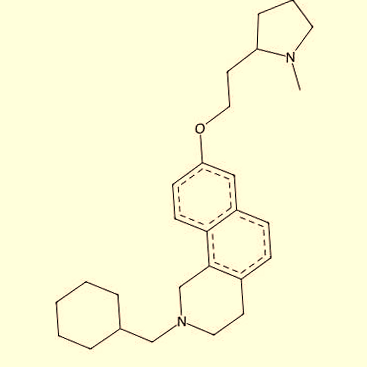 CN1CCCC1CCOc1ccc2c3c(ccc2c1)CCN(CC1CCCCC1)C3